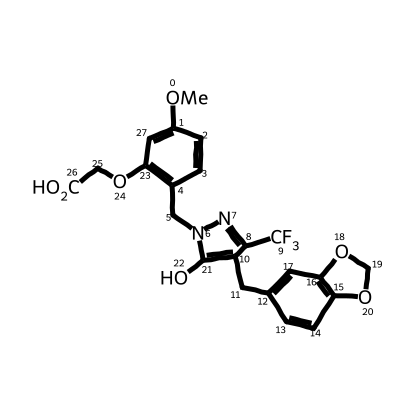 COc1ccc(Cn2nc(C(F)(F)F)c(Cc3ccc4c(c3)OCO4)c2O)c(OCC(=O)O)c1